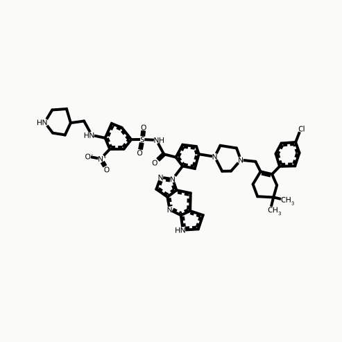 CC1(C)CCC(CN2CCN(c3ccc(C(=O)NS(=O)(=O)c4ccc(NCC5CCNCC5)c([N+](=O)[O-])c4)c(-n4ncc5nc6[nH]ccc6cc54)c3)CC2)=C(c2ccc(Cl)cc2)C1